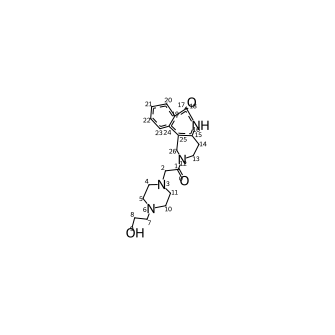 O=C(CN1CCN(CCO)CC1)N1CCc2[nH]c(=O)c3ccccc3c2C1